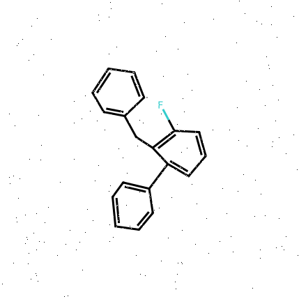 Fc1cccc(-c2ccccc2)c1Cc1[c]cccc1